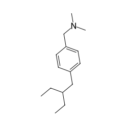 CCC(CC)Cc1ccc(CN(C)C)cc1